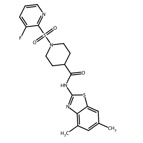 Cc1cc(C)c2nc(NC(=O)C3CCN(S(=O)(=O)c4ncccc4F)CC3)sc2c1